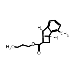 CCCCOC(=O)C12C[C@@H]3c4c(C)cccc4[C@H]1N32